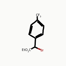 CCOC(=O)C(Br)c1ccc(C(F)(F)F)cc1